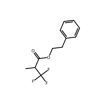 CC(C(=O)OCCc1ccccc1)C(F)(F)F